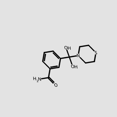 NC(=O)c1cccc(C(O)(O)N2CCSCC2)c1